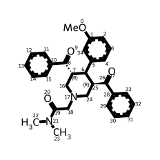 COc1cccc(C2[C@@H](C(=O)c3ccccc3)CN(CC(=O)N(C)C)C[C@@H]2C(=O)c2ccccc2)c1